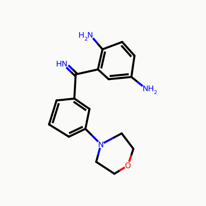 N=C(c1cccc(N2CCOCC2)c1)c1cc(N)ccc1N